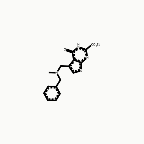 CCOC(=O)c1nc2scc(CN(C)Cc3ccccc3)c2c(=O)[nH]1